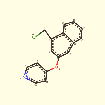 ClCc1cc(Oc2ccncc2)cc2ccccc12